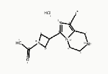 Cl.O=C(O)N1CC(c2nc(I)c3n2CCNC3)C1